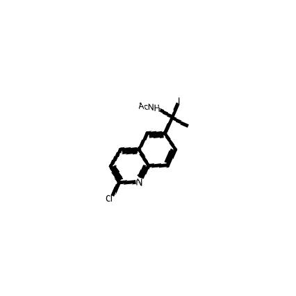 CC(=O)NC(C)(I)c1ccc2nc(Cl)ccc2c1